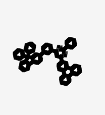 c1ccc(-c2nc(-c3cccc(-c4ccc5c(c4)C(c4ccccc4)(c4ccccc4)c4ccccc4-5)c3)cc(-c3ccc4c5ccccc5c5ccccc5c4c3)n2)cc1